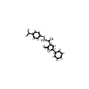 C[C](C)c1ccc(CNC(=O)c2cc(-c3ccccc3)oc2C)cc1